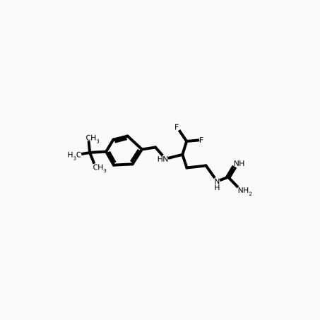 CC(C)(C)c1ccc(CNC(CCNC(=N)N)C(F)F)cc1